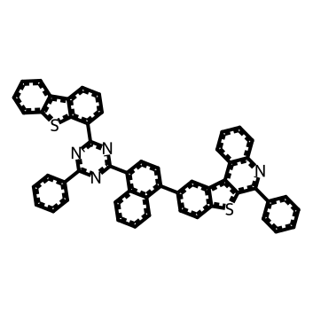 c1ccc(-c2nc(-c3ccc(-c4ccc5sc6c(-c7ccccc7)nc7ccccc7c6c5c4)c4ccccc34)nc(-c3cccc4c3sc3ccccc34)n2)cc1